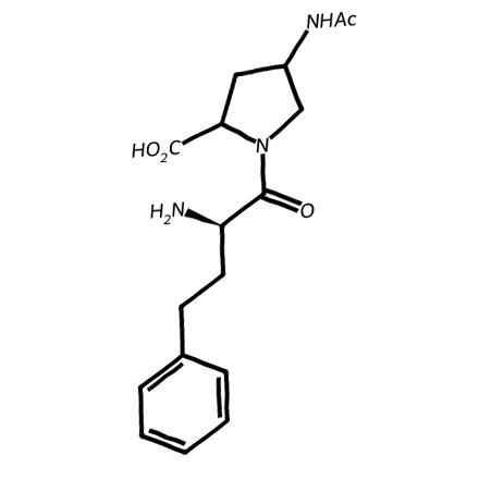 CC(=O)NC1CC(C(=O)O)N(C(=O)[C@H](N)CCc2ccccc2)C1